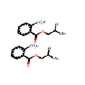 CCCCC(CC)COC(=O)c1ccccc1C(=O)O.CCCCC(CC)COC(=O)c1ccccc1C(=O)O